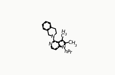 CCCn1c(C)c(C)c2c(N3CCc4ccccc4C3)nccc21